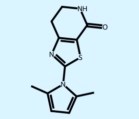 Cc1ccc(C)n1-c1nc2c(s1)C(=O)NCC2